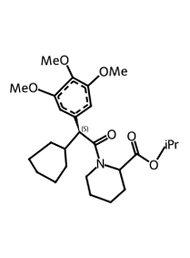 COc1cc([C@@H](C(=O)N2CCCCC2C(=O)OC(C)C)C2CCCCC2)cc(OC)c1OC